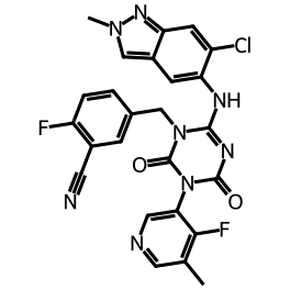 Cc1cncc(-n2c(=O)nc(Nc3cc4cn(C)nc4cc3Cl)n(Cc3ccc(F)c(C#N)c3)c2=O)c1F